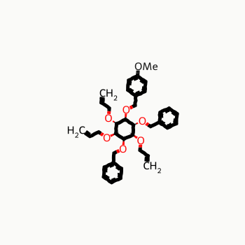 C=CCO[C@H]1[C@H](OCC=C)[C@@H](OCc2ccc(OC)cc2)[C@H](OCc2ccccc2)[C@@H](OCC=C)[C@H]1OCc1ccccc1